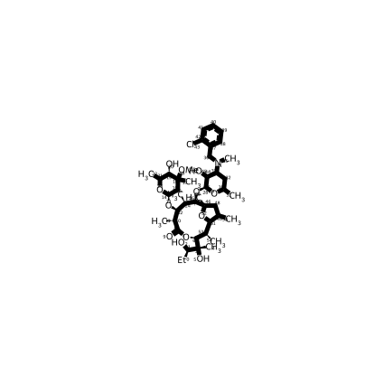 CC[C@@H](O)[C@@](C)(O)[C@@H]1OC(=O)[C@H](C)[C@@H](O[C@H]2CC(C)(OC)[C@@H](O)C(C)O2)[C@H](C)[C@@H](O[C@@H]2OC(C)CC(N(C)Cc3ccccc3Cl)C2O)[C@@]2(C)CC(C)C(O2)[C@@H]1C